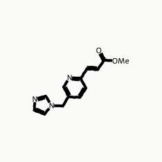 COC(=O)/C=C/c1ccc(Cn2ccnc2)cn1